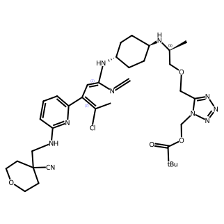 C=N/C(=C\C(=C(/C)Cl)c1cccc(NCC2(C#N)CCOCC2)n1)N[C@H]1CC[C@H](N[C@@H](C)COCc2nnnn2COC(=O)C(C)(C)C)CC1